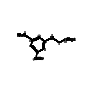 [CH2]CCCCCCCOc1cc(OC)cc(OC)c1